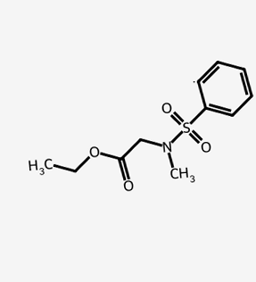 CCOC(=O)CN(C)S(=O)(=O)c1[c]cccc1